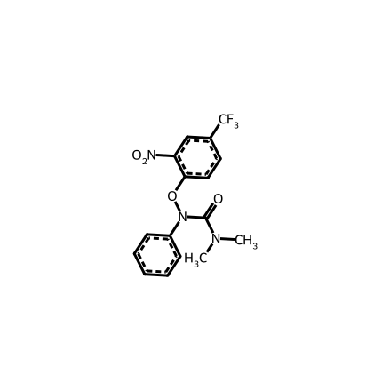 CN(C)C(=O)N(Oc1ccc(C(F)(F)F)cc1[N+](=O)[O-])c1ccccc1